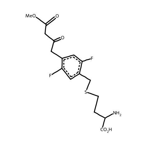 COC(=O)CC(=O)Cc1cc(F)c(CSCCC(N)C(=O)O)cc1F